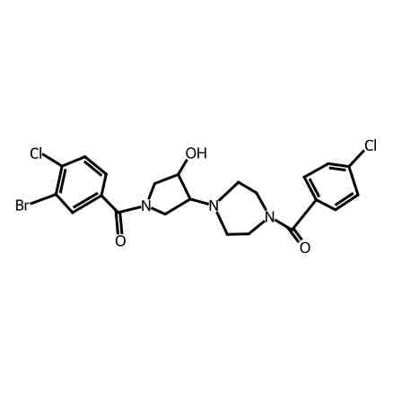 O=C(c1ccc(Cl)cc1)N1CCN(C2CN(C(=O)c3ccc(Cl)c(Br)c3)CC2O)CC1